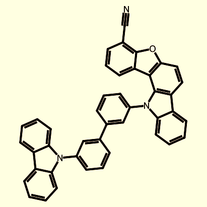 N#Cc1cccc2c1oc1ccc3c4ccccc4n(-c4cccc(-c5cccc(-n6c7ccccc7c7ccccc76)c5)c4)c3c12